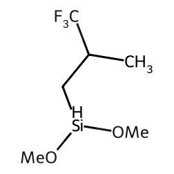 CO[SiH](CC(C)C(F)(F)F)OC